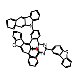 c1ccc(C2=NC(c3ccc4sc5ccccc5c4c3)=NC(c3ccc(-n4c5ccccc5c5cc6ccccc6cc54)cc3-c3c4ccccc4cc4oc5ccccc5c34)N2)cc1